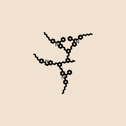 C/C=C/c1cc(/C=C/c2cc(/C=C/c3ccc4nc(-c5ccc(CCCCC)cc5)ccc4c3)cc(/C=C/c3ccc4nc(-c5ccc(CCCCCC)cc5)cc(-c5ccccc5)c4c3)c2)cc(/C=C/c2cc(/C=C/c3ccc4nc(-c5ccc(CCCCCC)cc5)cc(-c5ccccc5)c4c3)cc(/C=C/c3ccc4nc(-c5ccc(CCCCCC)cc5)cc(-c5ccccc5)c4c3)c2)c1